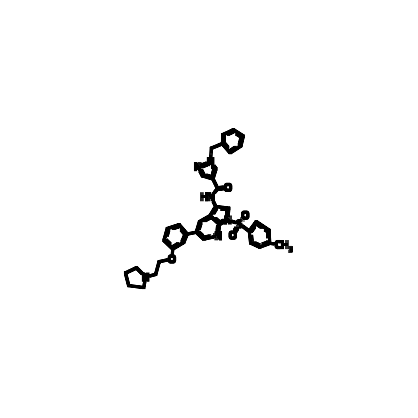 Cc1ccc(S(=O)(=O)n2cc(NC(=O)c3cnn(Cc4ccccc4)c3)c3cc(-c4cccc(OCCN5CCCC5)c4)cnc32)cc1